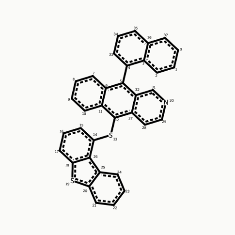 c1ccc2c(-c3c4ccccc4c(Sc4cccc5sc6ccccc6c45)c4ccncc34)cccc2c1